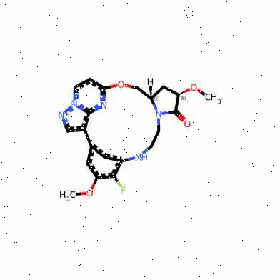 COc1cc2cc(c1F)NCCN1C(=O)[C@H](OC)C[C@H]1COc1ccn3ncc-2c3n1